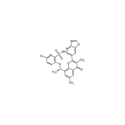 Cc1cc([C@@H](C)Oc2ccc(Cl)nc2S(N)(=O)=O)c2oc(-c3cnc4ncoc4c3)c(C)c(=O)c2c1